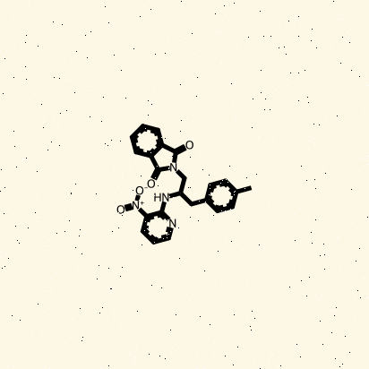 Cc1ccc(CC(CN2C(=O)c3ccccc3C2=O)Nc2ncccc2[N+](=O)[O-])cc1